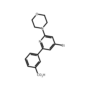 CCc1cc(-c2cccc(C(=O)O)c2)nc(N2CCOCC2)c1